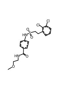 COCCNC(=O)c1ccc(NS(=O)(=O)CCc2cccc(Cl)c2Cl)cc1